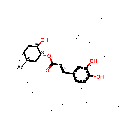 CC(=O)[C@@H]1CC[C@@H](O)[C@H](OC(=O)/C=C/c2ccc(O)c(O)c2)C1